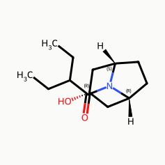 CCC(CC)C(=O)N1[C@@H]2CC[C@H]1C[C@@H](O)C2